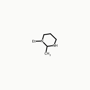 CCN1CCCNC1C